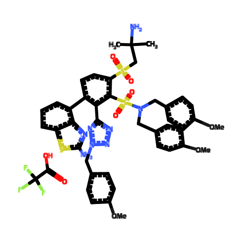 COc1ccc(CN(Cc2ccc(OC)cc2)S(=O)(=O)c2c(S(=O)(=O)CC(C)(C)N)ccc(-c3cccc4sc(N)nc34)c2-c2nnn(Cc3ccc(OC)cc3)n2)cc1.O=C(O)C(F)(F)F